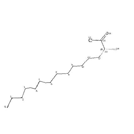 CCCCCCCCCCCCC[C@@H](C)C(=O)Cl